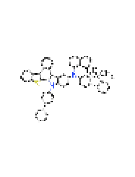 CC1(C)c2ccccc2-c2ccc(N(c3ccc4c(c3)c3c5ccccc5c5c6ccccc6sc5c3n4-c3ccc(-c4ccccc4)cc3)c3cccc4ccccc34)cc21